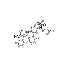 Cc1cccc(/C(Nc2ccc(N(CCN(C)C)S(C)(=O)=O)cc2)=C2/C(=O)Nc3ccccc32)c1